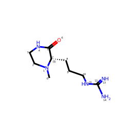 CN1CCNC(=O)[C@@H]1CCCNC(=N)N